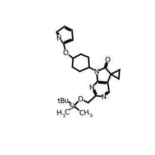 CC(C)(C)[Si](C)(C)OCc1ncc2c(n1)N(C1CCC(Oc3ccccn3)CC1)C(=O)C21CC1